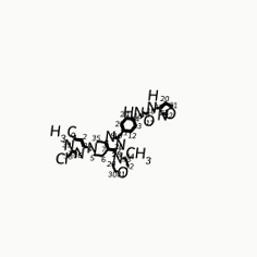 Cc1cc(N2CCc3c(nc(-c4ccc(NC(=O)Nc5ccon5)cc4)nc3N3CCOCC3C)C2)nc(Cl)n1